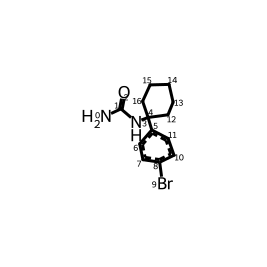 NC(=O)NC1(c2ccc(Br)cc2)CCCCC1